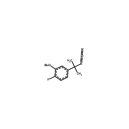 CC(C)COc1cc(C(C)(C)N=[N+]=[N-])ccc1F